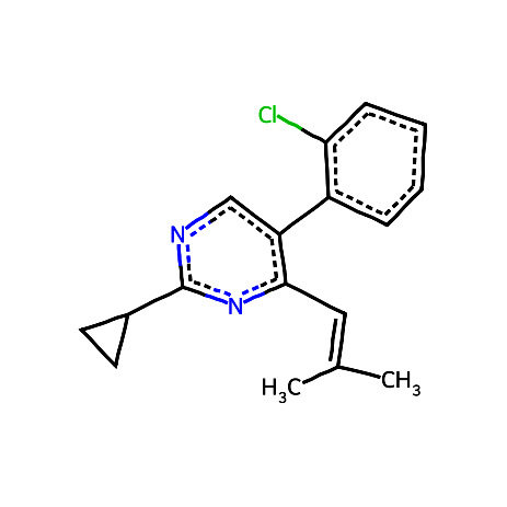 CC(C)=Cc1nc(C2CC2)ncc1-c1ccccc1Cl